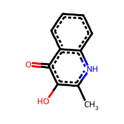 Cc1[nH]c2ccccc2c(=O)c1O